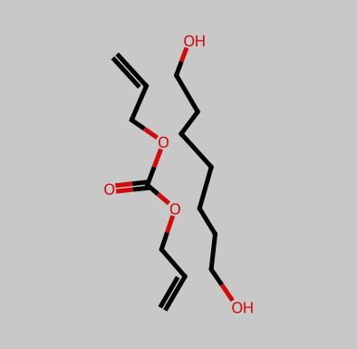 C=CCOC(=O)OCC=C.OCCCCCCCO